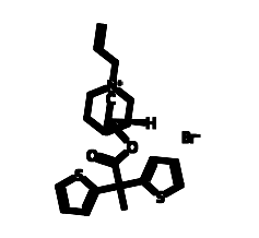 C=CC[N+]12CCC(CC1)[C@@H](OC(=O)C(C)(c1cccs1)c1cccs1)C2.[Br-]